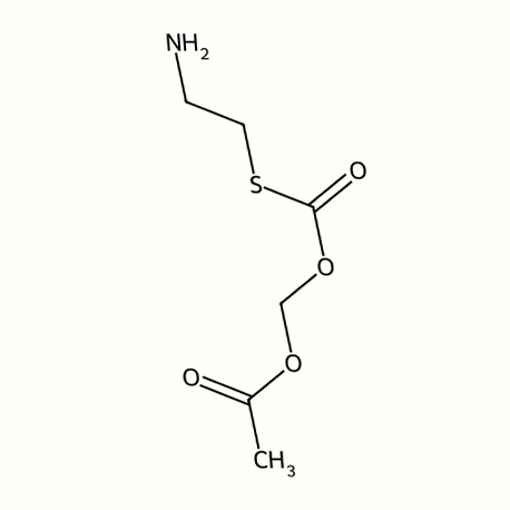 CC(=O)OCOC(=O)SCCN